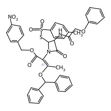 C/C(OC(c1ccccc1)c1ccccc1)=C(/C(=O)OCc1ccc([N+](=O)[O-])cc1)N1C(=O)C(NC(=O)COc2ccccc2)C1SS(=O)(=O)c1ccc(C)cc1